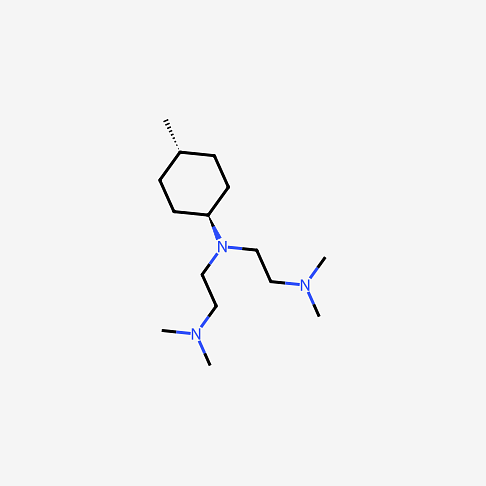 CN(C)CCN(CCN(C)C)[C@H]1CC[C@H](C)CC1